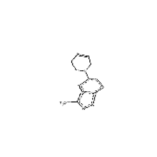 FC(F)(F)c1nnc2ccc(N3CC=[C]CC3)nn12